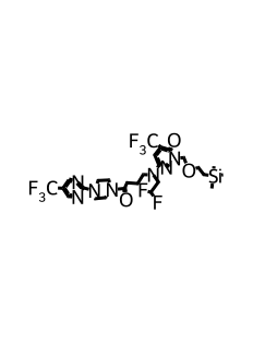 C[Si](C)(C)CCOCn1nc(N(CCCC(=O)N2CCN(c3ncc(C(F)(F)F)cn3)CC2)CC(F)F)cc(C(F)(F)F)c1=O